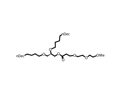 CCCCCCCCCCCCCCOC[C@H](COC(=O)CCOCCOCCOC)OCCCCCCCCCCCCCC